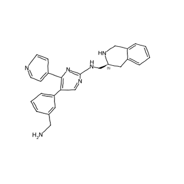 NCc1cccc(-c2cnc(NC[C@@H]3Cc4ccccc4CN3)nc2-c2ccncc2)c1